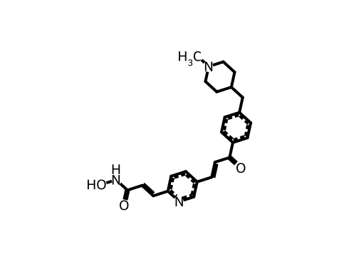 CN1CCC(Cc2ccc(C(=O)C=Cc3ccc(C=CC(=O)NO)nc3)cc2)CC1